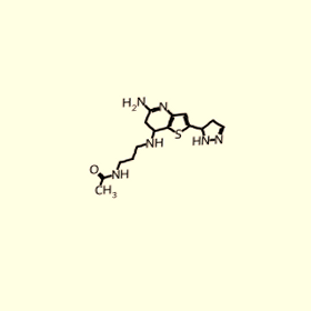 CC(=O)NCCCNC1CC(N)=Nc2cc(C3CC=NN3)sc21